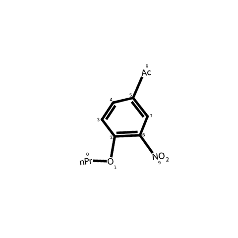 CCCOc1ccc(C(C)=O)cc1[N+](=O)[O-]